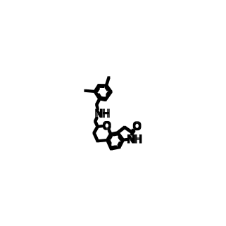 Cc1ccc(CNCC2CCc3ccc4c(c3O2)CC(=O)N4)c(C)c1